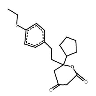 CCSc1ccc(CCC2(C3CCCC3)CC(=O)CC(=O)O2)cc1